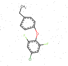 [CH2]Cc1ccc(Oc2c(F)cc(Cl)cc2F)cc1